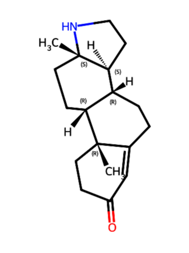 C[C@]12CCC(=O)C=C1CC[C@@H]1[C@H]2CC[C@]2(C)NCC[C@@H]12